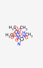 CCOc1nc(C(CS(C)(=O)=O)N2C(=O)c3c(C#N)ccc(NC(C)=O)c3C2=O)ccc1OC